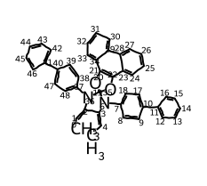 C/C=C1\C(=C/C)N(c2ccc(-c3ccccc3)cc2)C2(Oc3c(c4ccccc4c4ccccc34)O2)N1c1ccc(-c2ccccc2)cc1